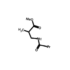 [CH2]C(C)C(=O)NCC(C)C(=O)OC